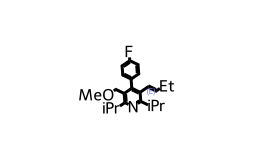 CC/C=C/c1c(C(C)C)nc(C(C)C)c(COC)c1-c1ccc(F)cc1